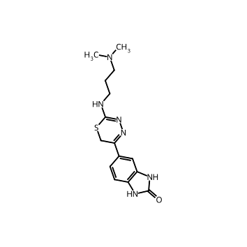 CN(C)CCCNC1=NN=C(c2ccc3[nH]c(=O)[nH]c3c2)CS1